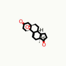 C[C@]12CC=C3[C@@H](CC[C@@]45CC(=O)CC[C@@]34O5)[C@@H]1CCC2=O